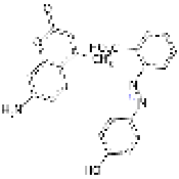 Cc1cc(=O)oc2cc(N)ccc12.O=C(O)c1ccccc1/N=N/c1ccc(O)cc1